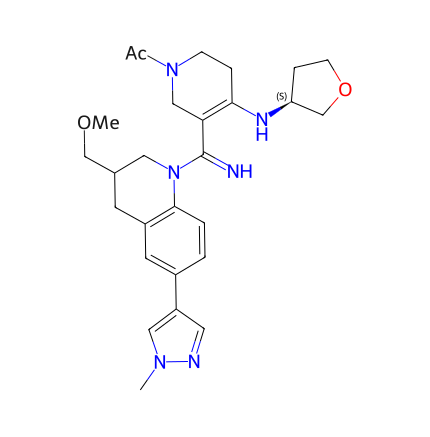 COCC1Cc2cc(-c3cnn(C)c3)ccc2N(C(=N)C2=C(N[C@H]3CCOC3)CCN(C(C)=O)C2)C1